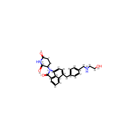 O=C1CCC(N2C(=O)c3cccc4c(Cc5ccc(CNCCO)cc5)ccc2c34)C(=O)N1